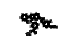 COc1ccc(CNc2ncc3cc(-c4ccccc4Cl)n(C[C@@H]4CCCN(C(=O)OC(C)(C)C)C4)c3n2)cc1F